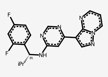 CC(C)[C@@H](Nc1cc(-c2cnn3cccnc23)ncn1)c1ccc(F)cc1F